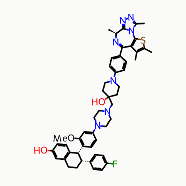 COc1cc(N2CCN(CC3(O)CCN(c4ccc(C5=N[C@@H](C)c6nnc(C)n6-c6sc(C)c(C)c65)cc4)CC3)CC2)ccc1[C@H]1c2ccc(O)cc2CC[C@H]1c1ccc(F)cc1